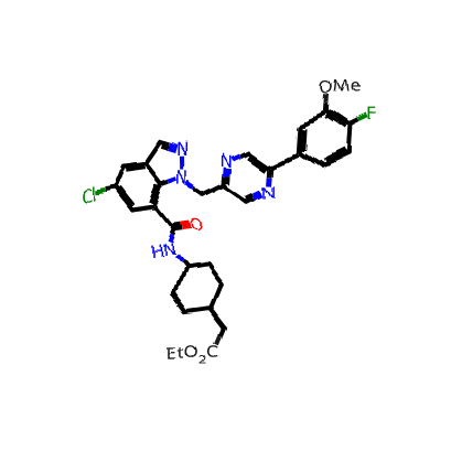 CCOC(=O)CC1CCC(NC(=O)c2cc(Cl)cc3cnn(Cc4cnc(-c5ccc(F)c(OC)c5)cn4)c23)CC1